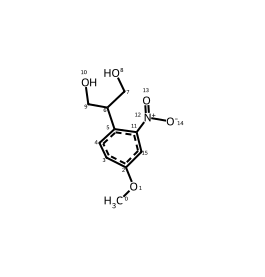 COc1ccc(C(CO)CO)c([N+](=O)[O-])c1